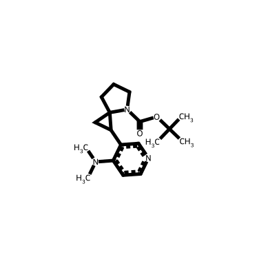 CN(C)c1ccncc1C1CC12CCCN2C(=O)OC(C)(C)C